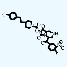 O=C(c1ccc(F)c([N+](=O)[O-])c1)C1CNCC2C(=O)N(OC(=O)N3CCC(CCc4ccc(Cl)cc4)CC3)C(=O)N12